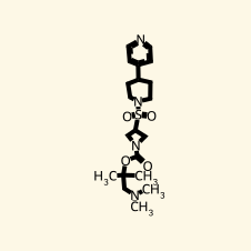 CN(C)CC(C)(C)OC(=O)N1CC(S(=O)(=O)N2CCC(c3ccncc3)CC2)C1